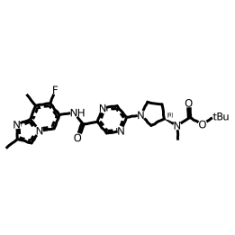 Cc1cn2cc(NC(=O)c3cnc(N4CC[C@@H](N(C)C(=O)OC(C)(C)C)C4)cn3)c(F)c(C)c2n1